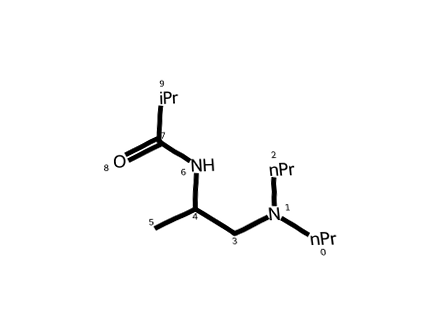 CCCN(CCC)CC(C)NC(=O)C(C)C